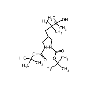 CC(C)(C)OC(=O)N1CC(CC(C)(C)[Si](C)(C)O)CN1C(=O)OC(C)(C)C